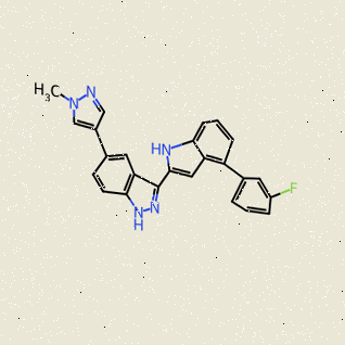 Cn1cc(-c2ccc3[nH]nc(-c4cc5c(-c6cccc(F)c6)cccc5[nH]4)c3c2)cn1